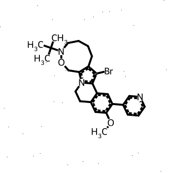 COc1cc2c(cc1-c1cccnc1)-c1c(Br)c3c(n1CC2)CON(C(C)(C)C)CCCC3